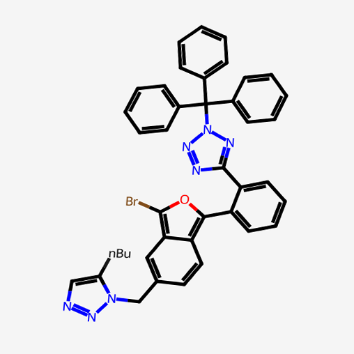 CCCCc1cnnn1Cc1ccc2c(-c3ccccc3-c3nnn(C(c4ccccc4)(c4ccccc4)c4ccccc4)n3)oc(Br)c2c1